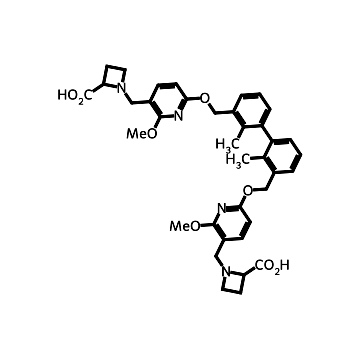 COc1nc(OCc2cccc(-c3cccc(COc4ccc(CN5CCC5C(=O)O)c(OC)n4)c3C)c2C)ccc1CN1CCC1C(=O)O